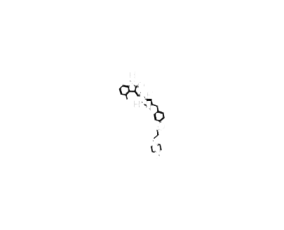 Cc1cccc2c1C(=CNc1cc(Cc3ccc(OCCCN4CCN(C)CC4)cc3)n[nH]1)C(=O)N2